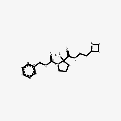 CC1(C(=O)OCCC2CCO2)CCCN1C(=O)OCc1ccccc1